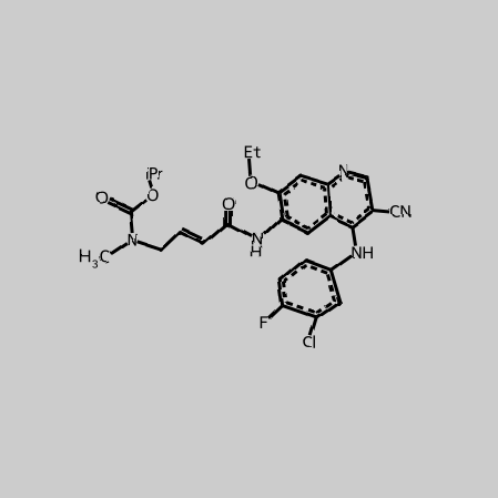 CCOc1cc2ncc(C#N)c(Nc3ccc(F)c(Cl)c3)c2cc1NC(=O)C=CCN(C)C(=O)OC(C)C